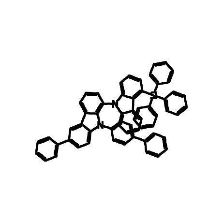 c1ccc(-c2ccc(-n3c4ccc(-c5ccccc5)cc4c4cccc(-n5c6ccccc6c6c([Si](c7ccccc7)(c7ccccc7)c7ccccc7)cccc65)c43)cc2)cc1